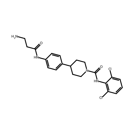 NCCC(=O)Nc1ccc(C2CCN(C(=O)Nc3c(Cl)cccc3Cl)CC2)cc1